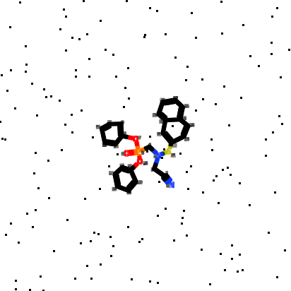 N#CCN(CP(=O)(Oc1ccccc1)Oc1ccccc1)Sc1ccc2ccccc2c1